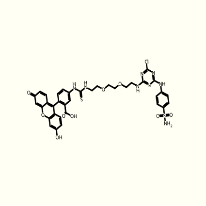 NS(=O)(=O)c1ccc(Nc2nc(Cl)nc(NCCOCCOCCNC(=S)Nc3ccc(-c4c5ccc(=O)cc-5oc5cc(O)ccc45)c(C(=O)O)c3)n2)cc1